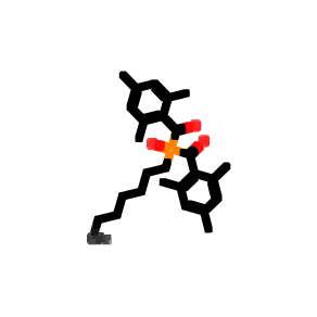 CC(=O)OCCCCCCP(=O)(C(=O)c1c(C)cc(C)cc1C)C(=O)c1c(C)cc(C)cc1C